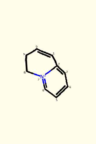 C1=Cc2cccc[n+]2CC1